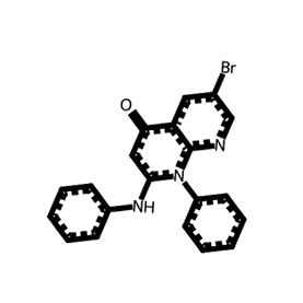 O=c1cc(Nc2ccccc2)n(-c2ccccc2)c2ncc(Br)cc12